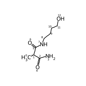 C[C](C(N)=O)C(=O)NCCCCO